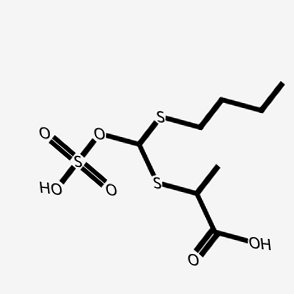 CCCCSC(OS(=O)(=O)O)SC(C)C(=O)O